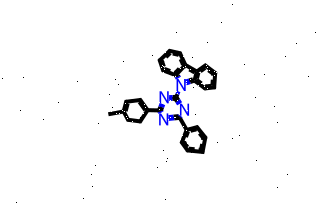 CC1=CC=C(c2nc(-c3ccccc3)nc(-n3c4ccccc4c4ccccc43)n2)CC1